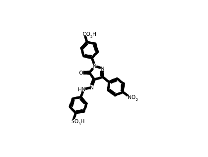 O=C(O)c1ccc(N2N=C(c3ccc([N+](=O)[O-])cc3)C(=NNc3ccc(S(=O)(=O)O)cc3)C2=O)cc1